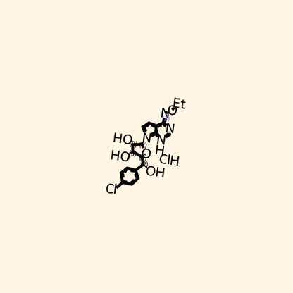 CCO/N=c1\nc[nH]c2c1ccn2[C@@H]1O[C@H]([C@H](O)c2ccc(Cl)cc2)[C@@H](O)[C@H]1O.Cl